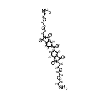 NCCOCCOCCN1C(=O)c2ccc(C(=O)c3ccc4c(c3)C(=O)N(CCOCCOCCN)C4=O)cc2C1=O